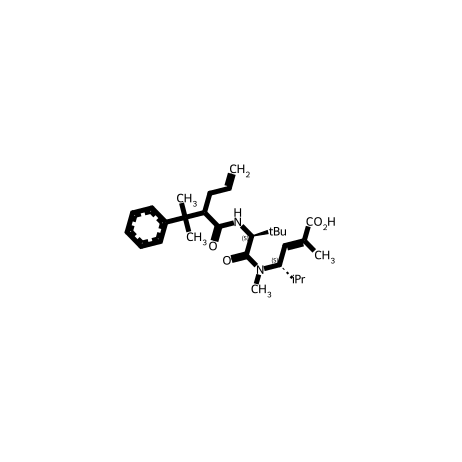 C=CCC(C(=O)N[C@H](C(=O)N(C)[C@H](C=C(C)C(=O)O)C(C)C)C(C)(C)C)C(C)(C)c1ccccc1